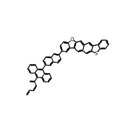 C=C/C=C\C(=C)c1c2ccccc2c(-c2ccc3cc(-c4ccc5oc6cc7cc8c(cc7cc6c5c4)sc4ccccc48)ccc3c2)c2ccccc12